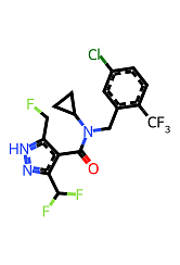 O=C(c1c(C(F)F)n[nH]c1CF)N(Cc1cc(Cl)ccc1C(F)(F)F)C1CC1